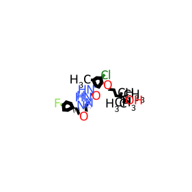 Cc1cc(Cl)c(OCCCC(C)(C)[Si](C)(C)O)cc1NC(=O)N/N=C1/COC[C@@H](c2ccc(F)cc2)N1